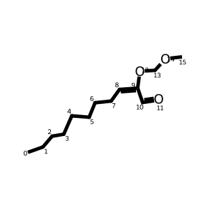 CCCCCCCC/C=C(\C=O)OCOC